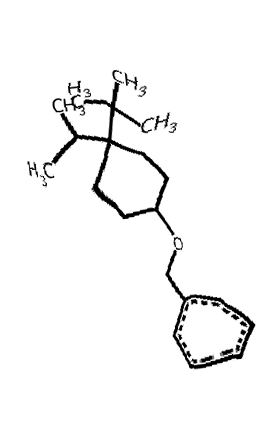 CC(C)C1(C(C)(C)C)CCC(OCc2ccccc2)CC1